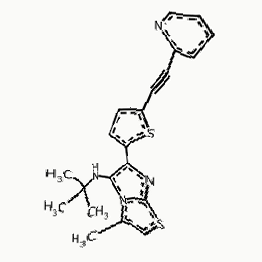 Cc1csc2nc(-c3ccc(C#Cc4ccccn4)s3)c(NC(C)(C)C)n12